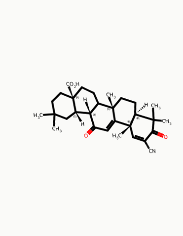 CC1(C)CC[C@]2(C(=O)O)CCC3[C@H](C(=O)C=C4[C@@]3(C)CC[C@H]3C(C)(C)C(=O)C(C#N)=C[C@]43C)[C@@H]2C1